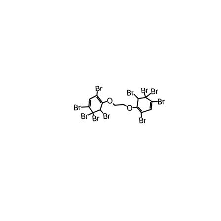 BrC1=CC(Br)=C(OCCOC2=C(Br)C=C(Br)C(Br)(Br)C2Br)C(Br)C1(Br)Br